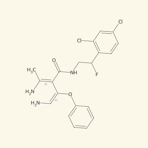 C/C(N)=C(C(=O)NCC(F)c1ccc(Cl)cc1Cl)/C(=C\N)Oc1ccccc1